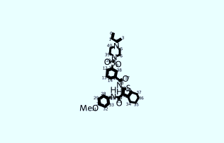 C=CC(=C)N1CCN(S(=O)(=O)c2cccc(C(=O)Nc3sc4c(c3C(=O)Nc3ccc(OC)cc3)CCCC4)c2)CC1